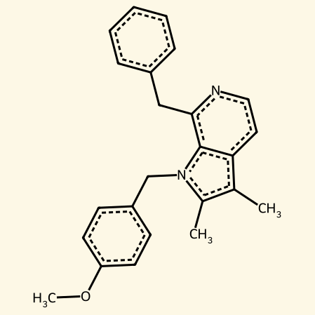 COc1ccc(Cn2c(C)c(C)c3ccnc(Cc4ccccc4)c32)cc1